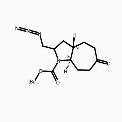 CC(C)(C)OC(=O)N1C(CN=[N+]=[N-])C[C@@H]2CCC(=O)CC[C@H]21